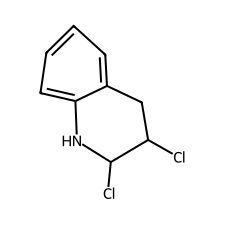 ClC1Cc2ccccc2NC1Cl